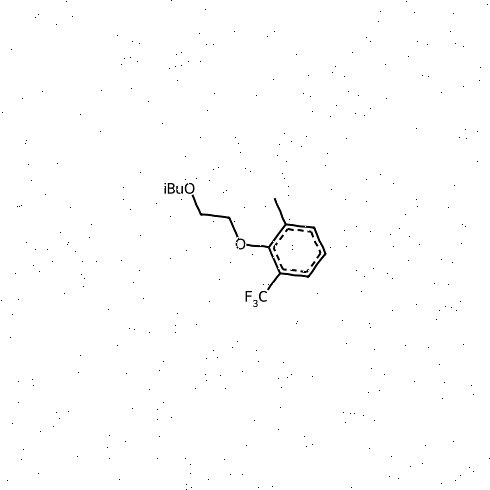 Cc1cccc(C(F)(F)F)c1OCCOCC(C)C